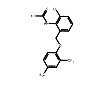 Cc1ccc(OCc2cccc(Cl)c2NC(=S)S)c(C)c1